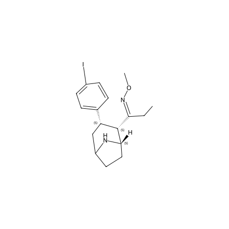 CCC(=NOC)[C@@H]1[C@@H]2CCC(C[C@@H]1c1ccc(I)cc1)N2